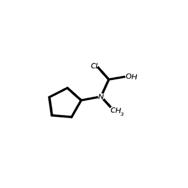 CN(C(O)Cl)C1CCCC1